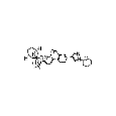 CC(C)(C)OC(=O)N1[C@@H]2CC[C@H]1CC(Oc1ccc3c(n1)OCc1cc(-c4cnn(C5CCCCO5)c4)ccc1-3)C2